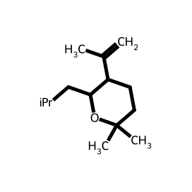 C=C(C)C1CCC(C)(C)OC1CC(C)C